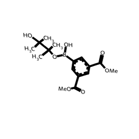 COC(=O)c1cc(B(O)OC(C)(C)C(C)(C)O)cc(C(=O)OC)c1